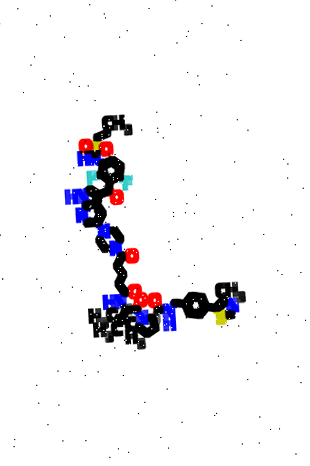 CCCS(=O)(=O)Nc1ccc(F)c(C(=O)c2c[nH]c3ncc(N4CCN(C(=O)CCCC(=O)N[C@H](C(=O)N5CCC[C@H]5C(=O)NCc5ccc(-c6scnc6C)cc5)C(C)(C)C)CC4)cc23)c1F